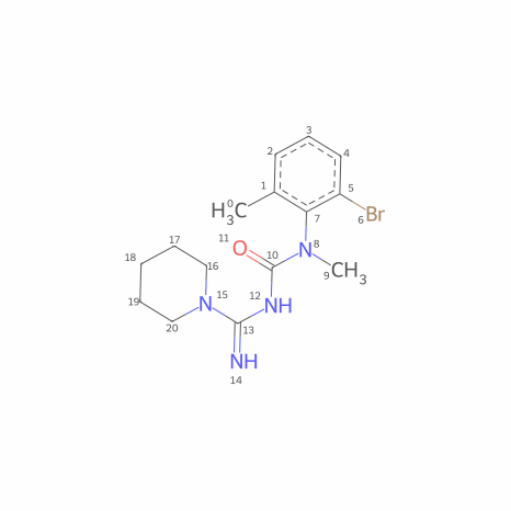 Cc1cccc(Br)c1N(C)C(=O)NC(=N)N1CCCCC1